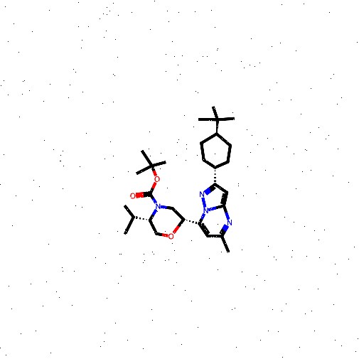 Cc1cc([C@H]2CN(C(=O)OC(C)(C)C)[C@@H](C(C)C)CO2)n2nc([C@H]3CC[C@H](C(C)(C)C)CC3)cc2n1